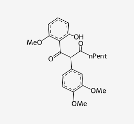 CCCCCC(=O)C(C(=O)c1c(O)cccc1OC)c1ccc(OC)c(OC)c1